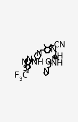 Cc1c(CN2CCC(Nc3ncnc4sc(CC(F)(F)F)cc34)CC2)ccc2c1cc(C#N)n2CC12CC(NC(=O)CCN3CCC3)(C1)[C@H]2C